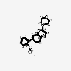 FC(F)(F)Oc1ccccc1-c1ccc2ncc(N3CCOCC3)nc2c1